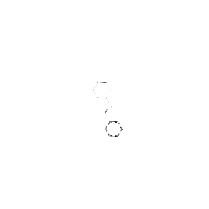 OC1CCC(N=Cc2ccccc2)CC1